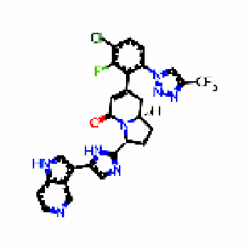 O=C1C=C(c2c(-n3cc(C(F)(F)F)nn3)ccc(Cl)c2F)C[C@H]2CC[C@@H](c3ncc(-c4c[nH]c5ccncc45)[nH]3)N12